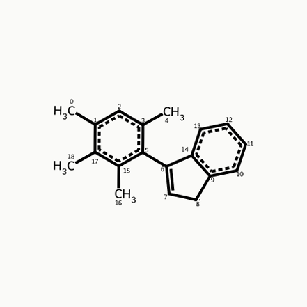 Cc1cc(C)c(C2=C[CH]c3ccccc32)c(C)c1C